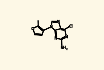 Cc1occc1-n1cnc2c(Cl)nc(N)nc21